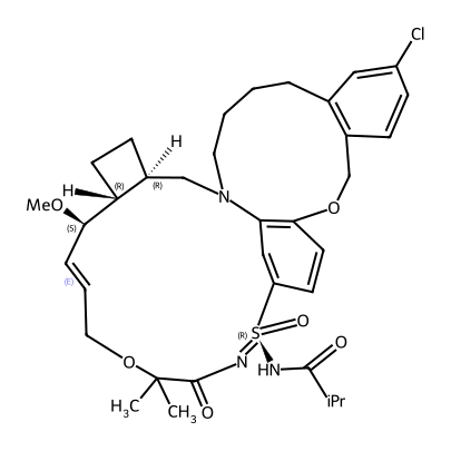 CO[C@@H]1/C=C/COC(C)(C)C(=O)N=[S@](=O)(NC(=O)C(C)C)c2ccc3c(c2)N(CCCCc2cc(Cl)ccc2CO3)C[C@@H]2CC[C@H]21